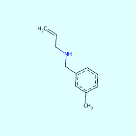 C=CCNCc1cccc(C)c1